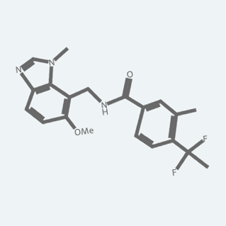 COc1ccc2ncn(C)c2c1CNC(=O)c1ccc(C(C)(F)F)c(C)c1